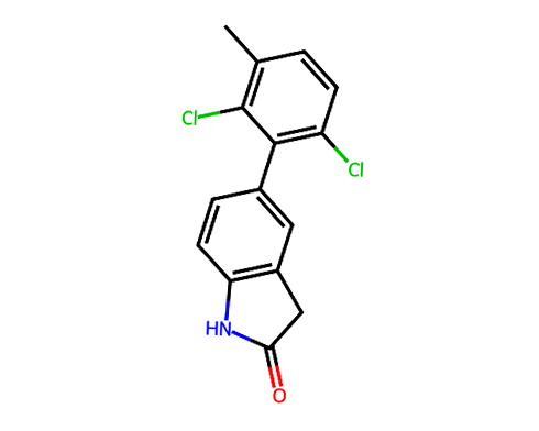 Cc1ccc(Cl)c(-c2ccc3c(c2)CC(=O)N3)c1Cl